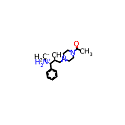 [CH2-][NH2+][C@@H](c1ccccc1)[C@@H](C)CN1CCN(C(C)=O)CC1